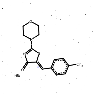 Br.Cc1ccc(/C=C2\SC(N3CCOCC3)=NC2=O)cc1